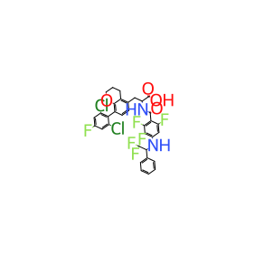 O=C(NC(Cc1ccc(-c2c(Cl)cc(F)cc2Cl)c2c1CCCO2)C(=O)O)c1c(F)cc(NC(c2ccccc2)C(F)(F)F)cc1F